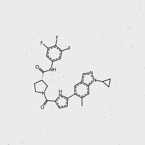 Cc1cc2c(cnn2C2CC2)cc1-c1ccc(C(=O)N2CC[C@H](C(=O)Nc3cc(F)c(F)c(F)c3)C2)[nH]1